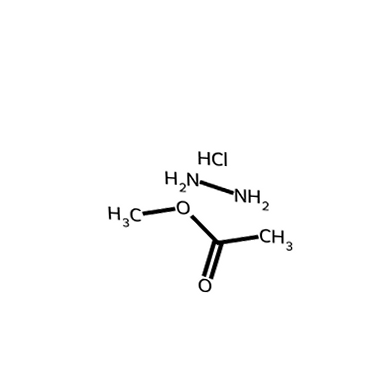 COC(C)=O.Cl.NN